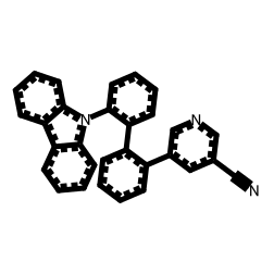 N#Cc1cncc(-c2ccccc2-c2ccccc2-n2c3ccccc3c3ccccc32)c1